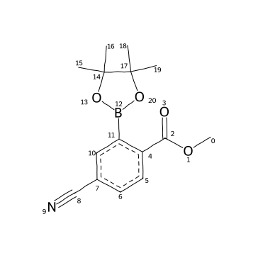 COC(=O)c1ccc(C#N)cc1B1OC(C)(C)C(C)(C)O1